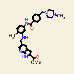 COC(=O)c1cc2cc(CNc3cc(NC(=O)c4ccc(CN5CCN(C)CC5)cc4)ccc3C)cnc2[nH]1